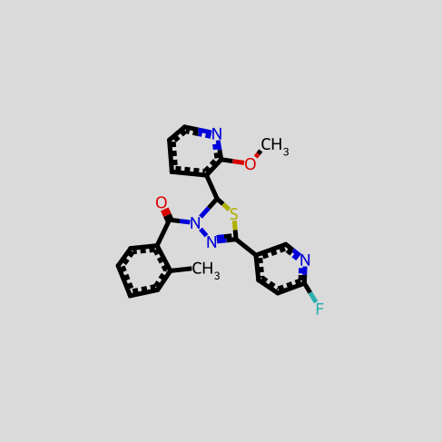 COc1ncccc1C1SC(c2ccc(F)nc2)=NN1C(=O)c1ccccc1C